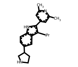 Cc1cc(-c2[nH]c3ccc(C4CCNC4)cc3c2C(C)C)cc(C)n1